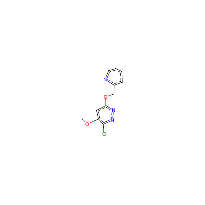 COc1cc(OCc2ccccn2)nnc1Cl